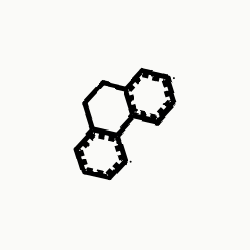 [c]1ccc2c(c1)CCc1ccc[c]c1-2